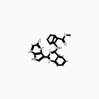 COC(=O)C1C2CCC(CC2)C1Nc1nc(-c2c[nH]c3ncc(Cl)nc23)nc2ccccc12